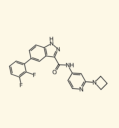 O=C(Nc1ccnc(N2CCC2)c1)c1n[nH]c2ccc(-c3cccc(F)c3F)cc12